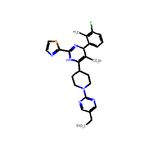 CCOC(=O)Cc1cnc(N2CCC(C3=C(C(=O)OCC)C(c4cccc(F)c4C)N=C(c4nccs4)N3)CC2)nc1